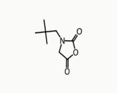 CC(C)(C)CN1CC(=O)OC1=O